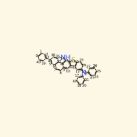 c1ccc(-c2cc3ccc4cc5c6cc(N(c7ccccc7)c7ccccc7)ccc6sc5c5[nH]c(c2)c3c45)cc1